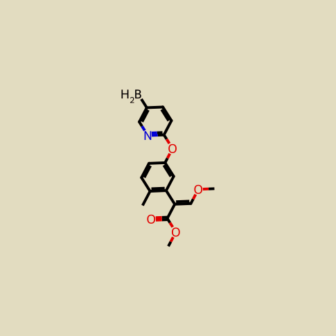 Bc1ccc(Oc2ccc(C)c(/C(=C\OC)C(=O)OC)c2)nc1